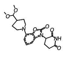 COC(OC)C1CCN(c2cccc3c2oc(=O)n3C2CCC(=O)NC2=O)CC1